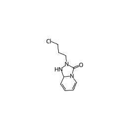 O=C1N(CCCCl)NC2C=CC=CN12